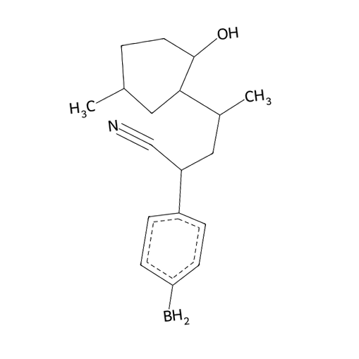 Bc1ccc(C(C#N)CC(C)C2CC(C)CCC2O)cc1